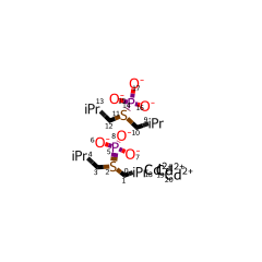 CC(C)CS(CC(C)C)=P([O-])([O-])[O-].CC(C)CS(CC(C)C)=P([O-])([O-])[O-].[Cd+2].[Cd+2].[Cd+2]